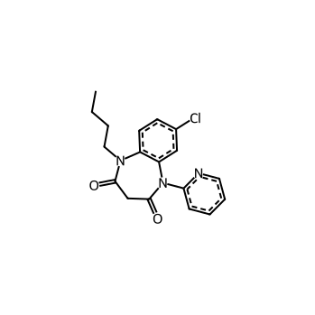 CCCCN1C(=O)CC(=O)N(c2ccccn2)c2cc(Cl)ccc21